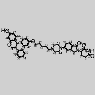 O=C1CCC(N2Cc3cc(N4CCN(CCCCCOc5ccc([C@H]6c7ccc(O)cc7OC[C@H]6c6ccccc6)cc5)CC4)ccc3C2=O)C(=O)N1